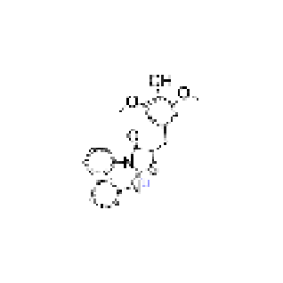 COc1cc(CC2S/C(=N/c3ccccc3)N(c3ccccc3)C2=O)cc(OC)c1O